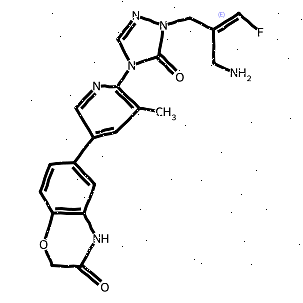 Cc1cc(-c2ccc3c(c2)NC(=O)CO3)cnc1-n1cnn(C/C(=C/F)CN)c1=O